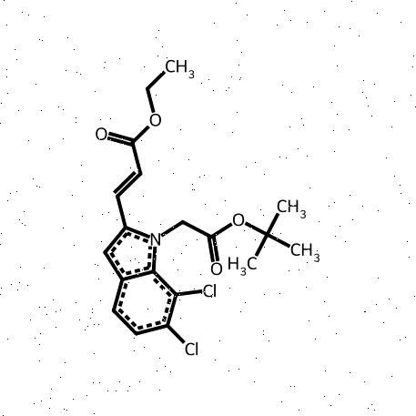 CCOC(=O)C=Cc1cc2ccc(Cl)c(Cl)c2n1CC(=O)OC(C)(C)C